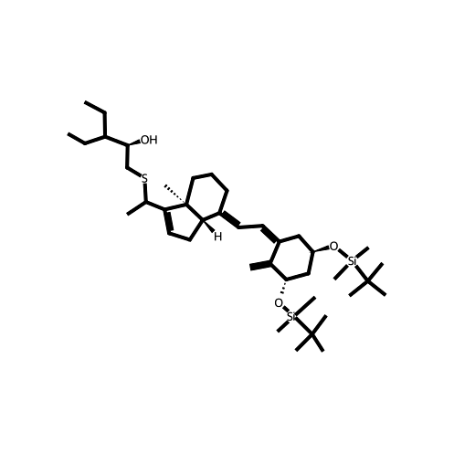 C=C1/C(=C\C=C2/CCC[C@]3(C)C(C(C)SC[C@H](O)C(CC)CC)=CC[C@@H]23)C[C@@H](O[Si](C)(C)C(C)(C)C)C[C@@H]1O[Si](C)(C)C(C)(C)C